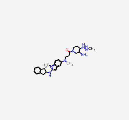 CNNC1=C(N)CN(C(=O)CCN(C)c2ccc3c(c2)cc(NC2Cc4ccccc4C2)n3C)CC1